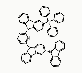 c1ccc([Si](c2ccccc2)(c2ccccc2)c2ccc3c(c2)c2ccccc2n3-c2nccc(-n3c4ccccc4c4cc(-n5c6ccccc6c6ccccc65)ccc43)n2)cc1